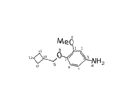 COc1cc(N)ccc1OCC1CCC1